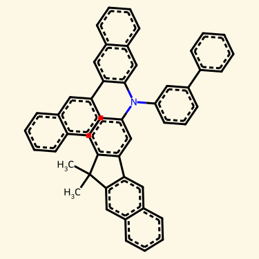 CC1(C)c2ccc(N(c3cccc(-c4ccccc4)c3)c3cc4ccccc4cc3-c3ccc4ccccc4c3)cc2-c2cc3ccccc3cc21